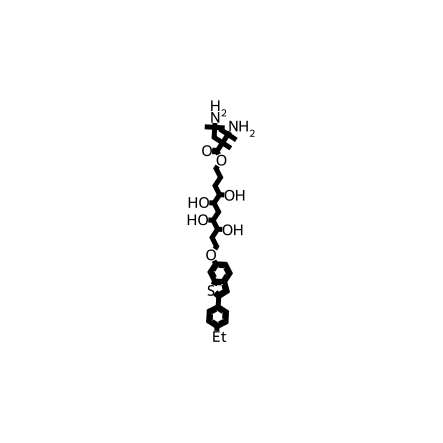 CCc1ccc(-c2cc3ccc(OCCC(O)C(O)CC(O)C(O)CCCOC(=O)C(C)(CC(C)(C)N)C(C)(C)N)cc3s2)cc1